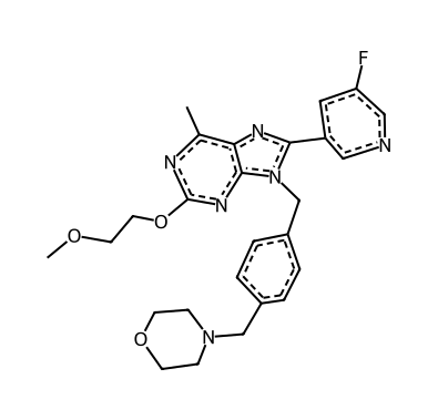 COCCOc1nc(C)c2nc(-c3cncc(F)c3)n(Cc3ccc(CN4CCOCC4)cc3)c2n1